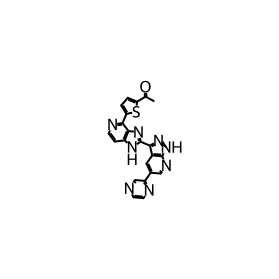 CC(=O)c1ccc(-c2nccc3[nH]c(-c4n[nH]c5ncc(-c6cnccn6)cc45)nc23)s1